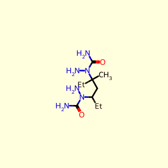 CCC(CC(C)(CC)N(N)C(N)=O)N(N)C(N)=O